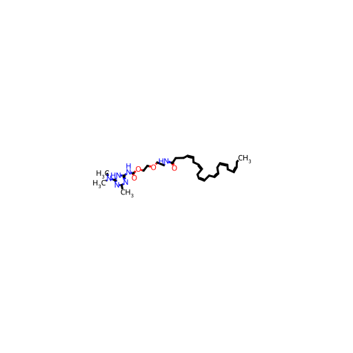 CC/C=C\C/C=C\C/C=C\C/C=C\C/C=C\C/C=C\CCC(=O)NCCOCCOC(=O)NC1=NC(C)N=C(N(C)C)N1